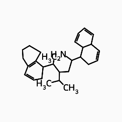 CC(C)C(CC(N)C1CC=CC2C=CC=CC21)C(C)C1CC=CC2=C1CCCC2